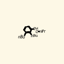 CCCCc1cccc(POCCC)c1CCCC